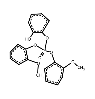 COc1ccccc1OP(=O)(Oc1ccccc1O)Oc1ccccc1OC